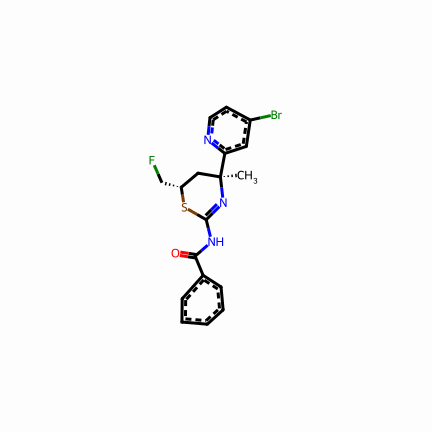 C[C@@]1(c2cc(Br)ccn2)C[C@@H](CF)SC(NC(=O)c2ccccc2)=N1